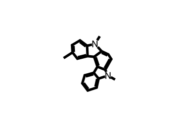 Cc1ccc2c(c1)c1c3c4ccccc4n(C)c3ccc1n2C